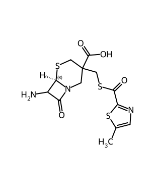 Cc1cnc(C(=O)SCC2(C(=O)O)CS[C@@H]3C(N)C(=O)N3C2)s1